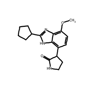 COc1ccc(C2CCNC2=O)c2[nH]c(C3CCCC3)nc12